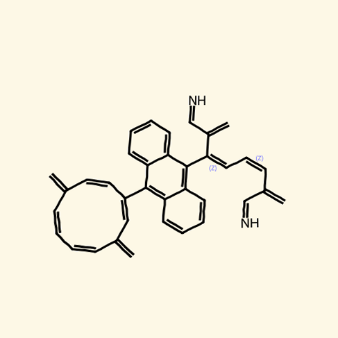 C=C(C=N)/C=C\C=C(/C(=C)C=N)c1c2ccccc2c(-c2ccc(=C)ccccc(=C)c2)c2ccccc12